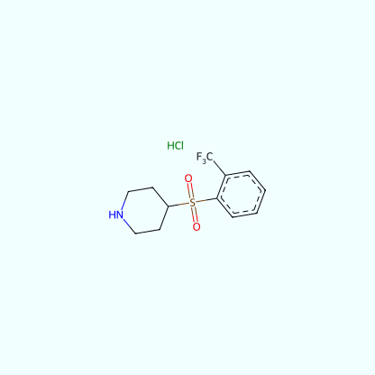 Cl.O=S(=O)(c1ccccc1C(F)(F)F)C1CCNCC1